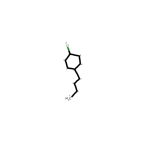 CCCCC1CCC(Cl)CC1